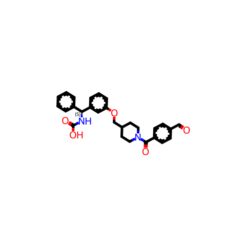 O=Cc1ccc(C(=O)N2CCC(COc3cccc([C@@H](NC(=O)O)c4ccccc4)c3)CC2)cc1